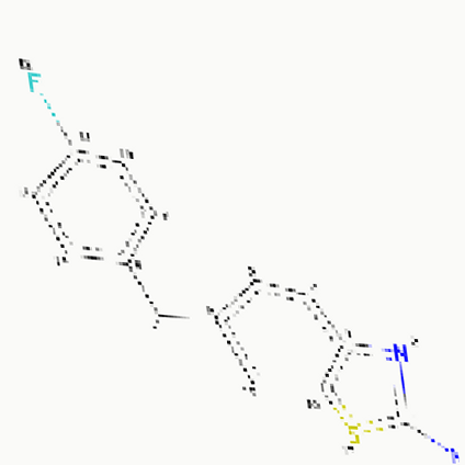 Nc1nc2ccc(Cc3ccc(F)cc3)cc2s1